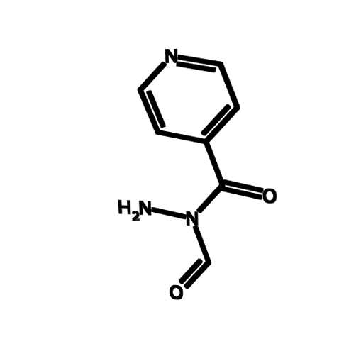 NN(C=O)C(=O)c1ccncc1